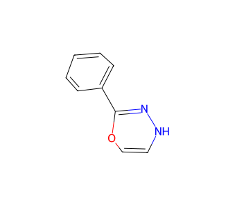 C1=COC(c2ccccc2)=NN1